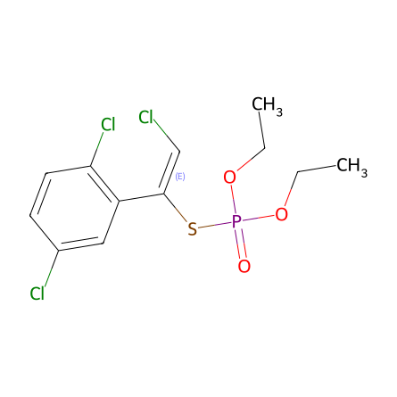 CCOP(=O)(OCC)S/C(=C/Cl)c1cc(Cl)ccc1Cl